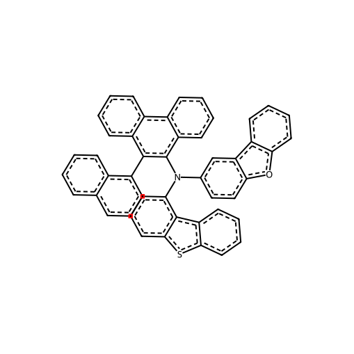 c1ccc2c(-c3c(N(c4ccc5oc6ccccc6c5c4)c4cccc5sc6ccccc6c45)c4ccccc4c4ccccc34)cccc2c1